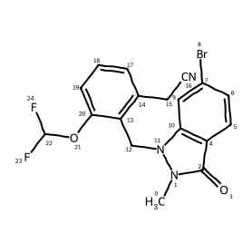 Cn1c(=O)c2ccc(Br)cc2n1Cc1c(CC#N)cccc1OC(F)F